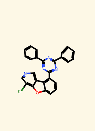 Clc1cncc2c1oc1cccc(-c3nc(-c4ccccc4)nc(-c4ccccc4)n3)c12